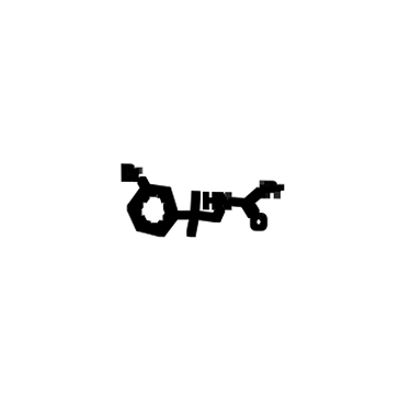 CC(C)C(=O)NCC(C)(C)c1cccc(Br)c1